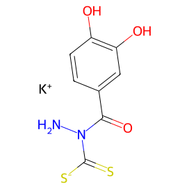 NN(C(=O)c1ccc(O)c(O)c1)C(=S)[S-].[K+]